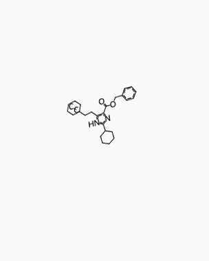 O=C(OCc1ccccc1)c1nc(C2CCCCC2)[nH]c1CCC12CCC(CC1)CC2